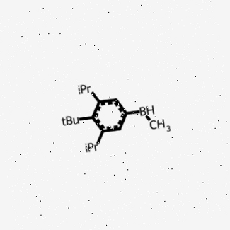 CBc1cc(C(C)C)c(C(C)(C)C)c(C(C)C)c1